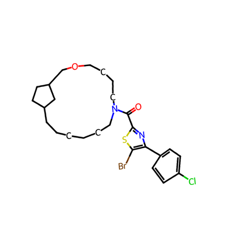 O=C(c1nc(-c2ccc(Cl)cc2)c(Br)s1)N1CCCCCCC2CCC(COCCCC1)C2